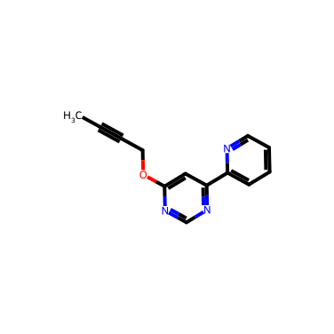 CC#CCOc1cc(-c2ccccn2)ncn1